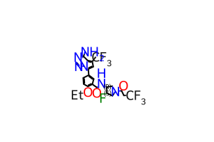 CCOc1ccc(-c2cc(C(F)(F)F)c3c(N)ncnn23)cc1C(=O)N[C@@H]1CN(C(=O)CC(F)(F)F)C[C@@H]1F